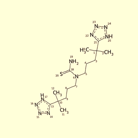 CC(C)(CCCN(CCCC(C)(C)c1nnn[nH]1)C(N)=S)c1nnn[nH]1